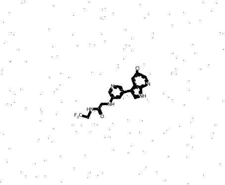 O=C(CNc1cncc(-c2c[nH]c3ncc(Cl)cc23)c1)NCC(F)(F)F